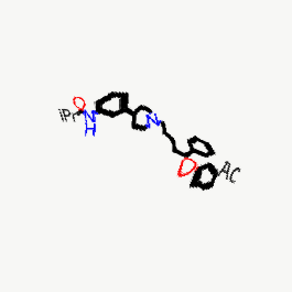 CC(=O)c1cccc(OC(CCCCN2CCC(c3cccc(NC(=O)C(C)C)c3)CC2)c2ccccc2)c1